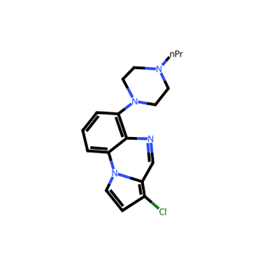 CCCN1CCN(c2cccc3c2ncc2c(Cl)ccn23)CC1